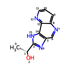 C[C@@H](O)c1nc2cnc3cccnc3c2[nH]1